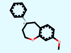 COc1ccc2c(c1)OCC[C@H](c1ccccc1)C2